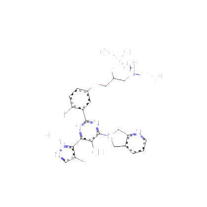 Cc1c(-c2c(I)cnn2C)nc(-c2cc(OCC(CN(C)C(=O)O)O[Si](C)(C)C(C)(C)C)ccc2Cl)nc1N1Cc2cccnc2C1